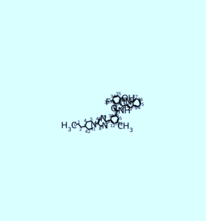 CCCC1CCN(c2cnc(-c3cc(C)cc(C(=O)N[C@@H](c4cc5ccccc5[nH]4)c4cc(F)ccc4O)c3)nc2)CC1